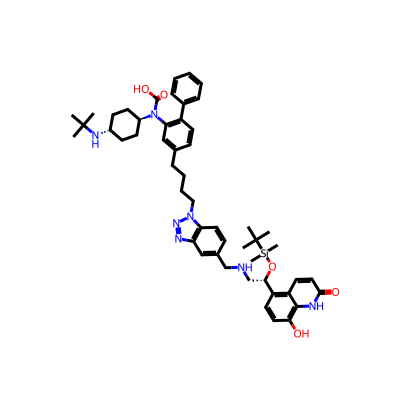 CC(C)(C)N[C@H]1CC[C@H](N(C(=O)O)c2cc(CCCCn3nnc4cc(CNC[C@H](O[Si](C)(C)C(C)(C)C)c5ccc(O)c6[nH]c(=O)ccc56)ccc43)ccc2-c2ccccc2)CC1